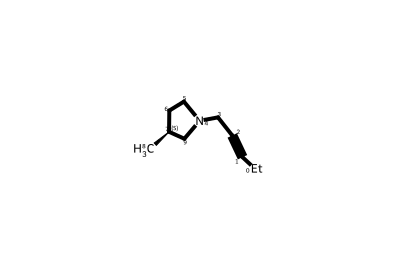 CCC#CCN1CC[C@H](C)C1